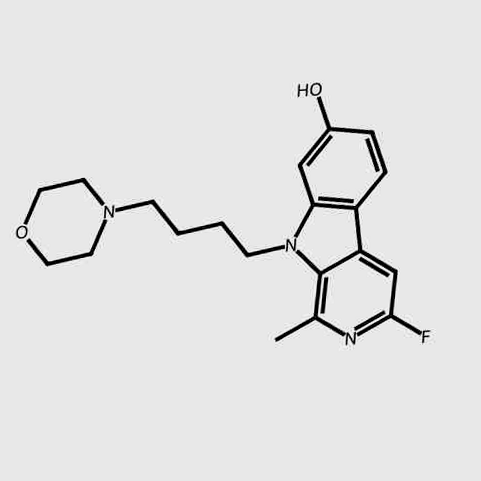 Cc1nc(F)cc2c3ccc(O)cc3n(CCCCN3CCOCC3)c12